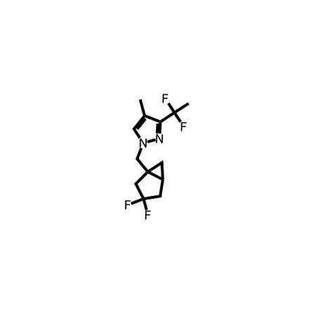 Cc1cn(CC23CC2CC(F)(F)C3)nc1C(C)(F)F